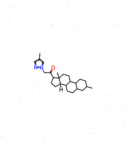 Cc1cnn(CC(=O)C2CC[C@H]3C4CCC5CC(C)CCC5C4CCC23C)c1